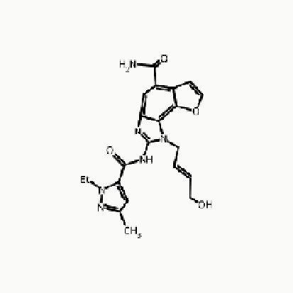 CCn1nc(C)cc1C(=O)Nc1nc2cc(C(N)=O)c3ccoc3c2n1CC=CCO